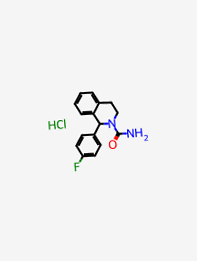 Cl.NC(=O)N1CCc2ccccc2C1c1ccc(F)cc1